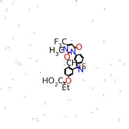 CCC(Oc1ccc(C)c(-c2nsc3ccc(-n4c(=O)cc(C(F)(F)F)n(C)c4=O)cc23)c1)C(=O)O